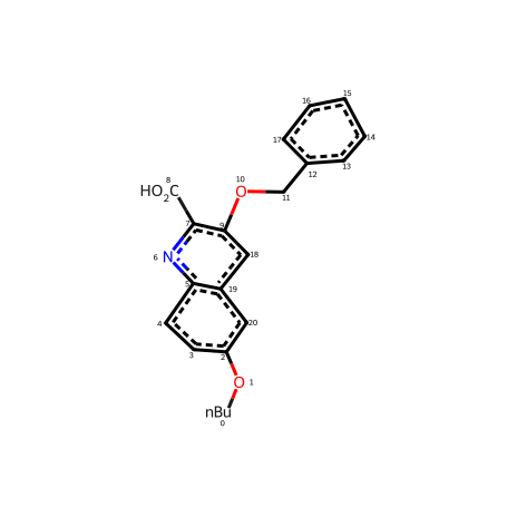 CCCCOc1ccc2nc(C(=O)O)c(OCc3ccccc3)cc2c1